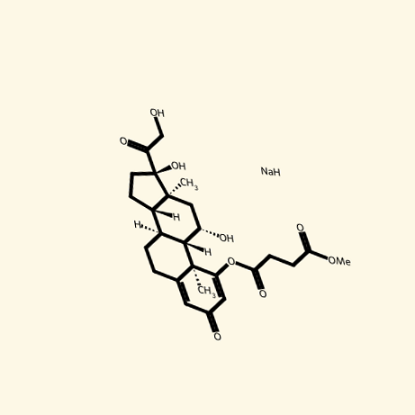 COC(=O)CCC(=O)OC1=CC(=O)C=C2CC[C@@H]3[C@H]([C@@H](O)C[C@@]4(C)[C@H]3CC[C@]4(O)C(=O)CO)[C@]21C.[NaH]